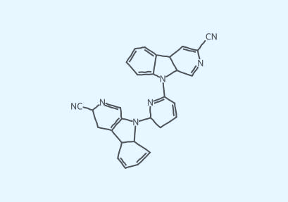 N#CC1=CC2c3ccccc3N(C3=NC(N4C5=C(CC(C#N)N=C5)C5C=CC=CC54)CC=C3)C2C=N1